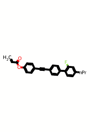 C=CC(=O)Oc1ccc(C#Cc2ccc(-c3ccc(CCC)cc3F)cc2)cc1